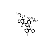 COc1cc2nc(N3CCNCC3C(=O)C3CCCC3)nc(NC(=O)C3CCCN3C(=O)C(C)CSC(C)=O)c2cc1OC